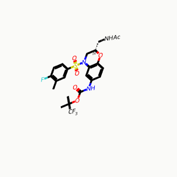 CC(=O)NC[C@H]1CN(S(=O)(=O)c2ccc(F)c(C)c2)c2cc(NC(=O)OC(C)(C)C(F)(F)F)ccc2O1